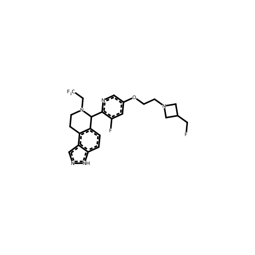 FCC1CN(CCOc2cnc(C3c4ccc5[nH]ncc5c4CCN3CC(F)(F)F)c(F)c2)C1